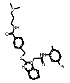 Cc1ccc(C(C)C)cc1NC(=O)Cn1c(SCc2ccc(C(=O)NCCCN(C)C)cc2)nc2ccccc21